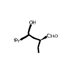 CC(C)C(O)[C@H](C)C=O